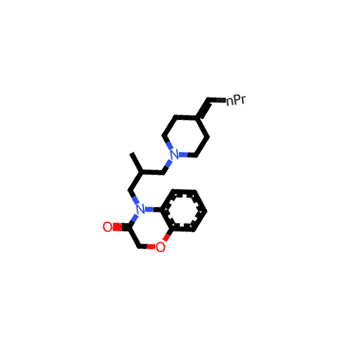 CCCC=C1CCN(CC(C)CN2C(=O)COc3ccccc32)CC1